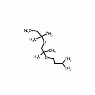 CCC(C)(C)OCC(C)(C)OCCC(C)C